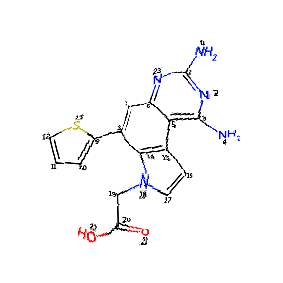 Nc1nc(N)c2c(cc(-c3cccs3)c3c2ccn3CC(=O)O)n1